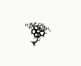 COC12CCC3(CC1C(C)(O)C(C)(C)C)C1Cc4ccc(C)c5c4C3(CCN1CC1CC1)C2O5